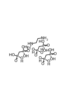 CCNCCN.O=P(O)(O)CP(=O)(O)O.O=P(O)(O)CP(=O)(O)O.O=P(O)(O)CP(=O)(O)O